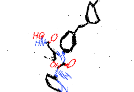 [CH]c1ccc(C#Cc2ccc(N(C(=O)CNc3ccccn3)[C@H](C(=O)NO)[C@@H](C)O)cc2)cc1